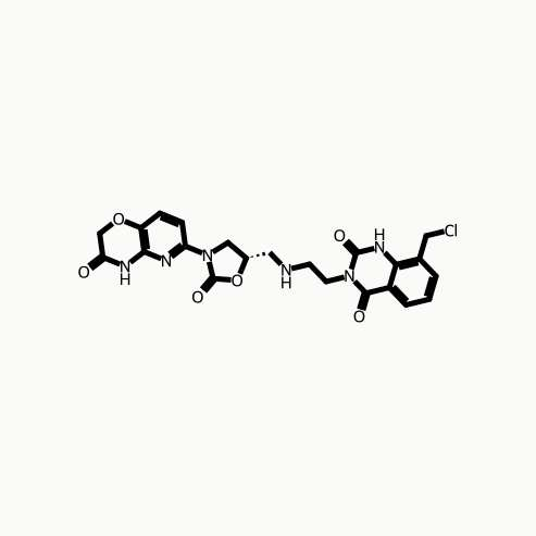 O=C1COc2ccc(N3C[C@H](CNCCn4c(=O)[nH]c5c(CCl)cccc5c4=O)OC3=O)nc2N1